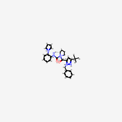 C[C@@H]1CCC[N+]1(C(=O)Nc1ccccc1-n1cccc1)C(=O)c1cc(C(C)(C)C)nn1Cc1ccccc1